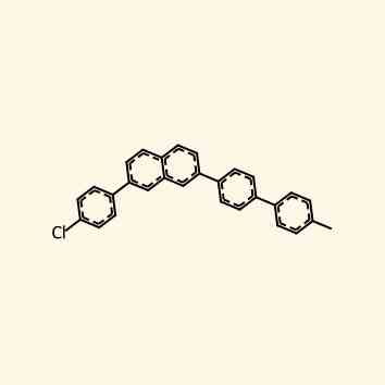 Cc1ccc(-c2ccc(-c3ccc4ccc(-c5ccc(Cl)cc5)cc4c3)cc2)cc1